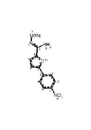 CON=C(N)c1ccc(-c2ccc([N+](=O)[O-])cc2)o1